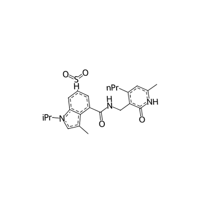 CCCc1cc(C)[nH]c(=O)c1CNC(=O)c1cc([SH](=O)=O)cc2c1c(C)cn2C(C)C